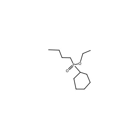 CCCCP(=O)(OCC)C1CCCCC1